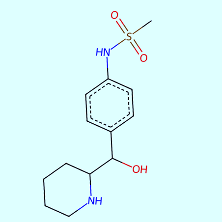 CS(=O)(=O)Nc1ccc(C(O)C2CCCCN2)cc1